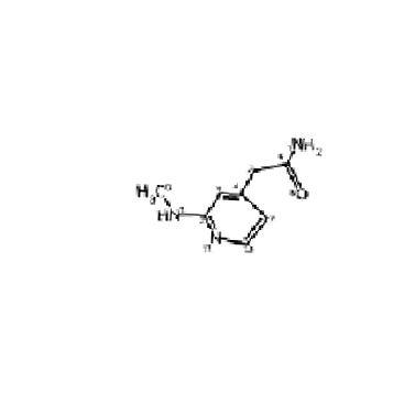 CNc1cc([CH]C(N)=O)ccn1